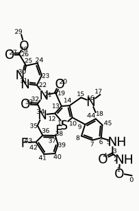 CONC(=O)Nc1ccc(-c2sc3c(c2CN(C)C)c(=O)n(-c2ccc(C(=O)OC)nn2)c(=O)n3Cc2c(F)cccc2F)cc1